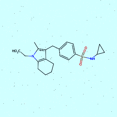 Cc1c(Cc2ccc(S(=O)(=O)NC3CC3)cc2)c2c(n1CC(=O)O)CCCC2